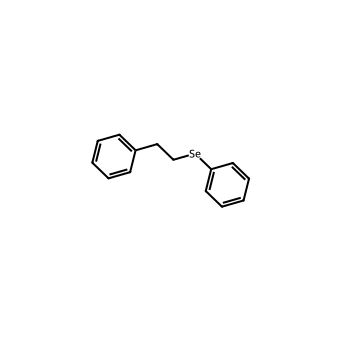 c1ccc(CC[Se]c2ccccc2)cc1